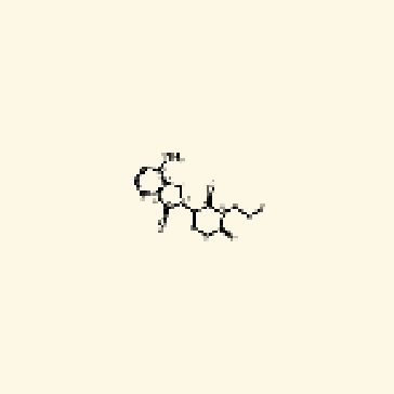 C=C1CCC(N2Cc3c(N)cccc3C2=O)C(=O)N1CCC